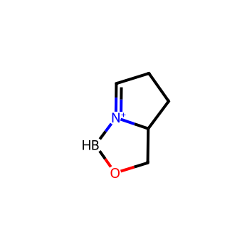 B1OCC2CCC=[N+]12